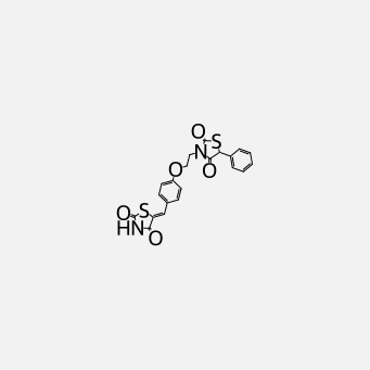 O=C1NC(=O)C(=Cc2ccc(OCCN3C(=O)SC(c4ccccc4)C3=O)cc2)S1